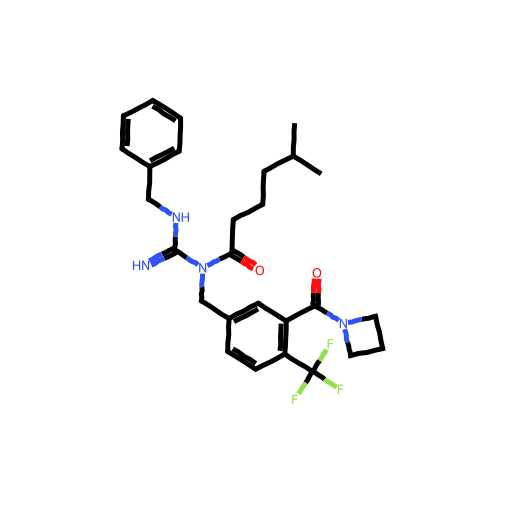 CC(C)CCCC(=O)N(Cc1ccc(C(F)(F)F)c(C(=O)N2CCC2)c1)C(=N)NCc1ccccc1